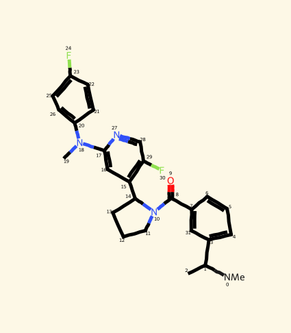 CNC(C)c1cccc(C(=O)N2CCCC2c2cc(N(C)c3ccc(F)cc3)ncc2F)c1